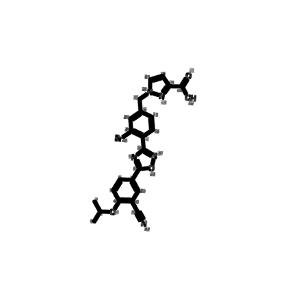 CC(C)Oc1ccc(-c2nc(-c3ccc(Cn4ccc(C(=O)O)n4)cc3Br)no2)cc1C#N